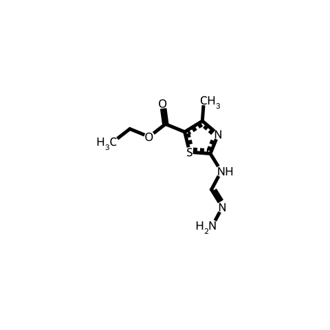 CCOC(=O)c1sc(NC=NN)nc1C